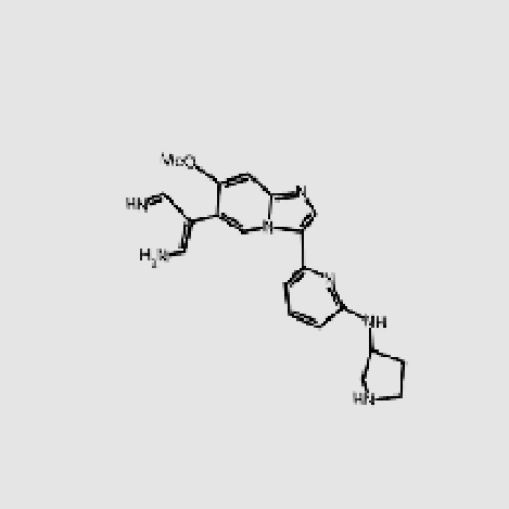 COc1cc2ncc(-c3cccc(NC4CCNC4)n3)n2cc1/C(C=N)=C/N